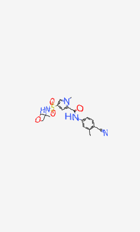 Cc1cc(NC(=O)c2cc(S(=O)(=O)NC3(C)COC3)cn2C)ccc1C#N